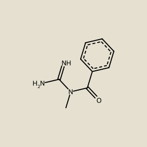 CN(C(=N)N)C(=O)c1ccccc1